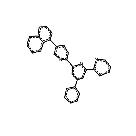 c1ccc(-c2cc(-c3ccccn3)nc(-c3ccc(-c4cccc5ccccc45)cn3)c2)cc1